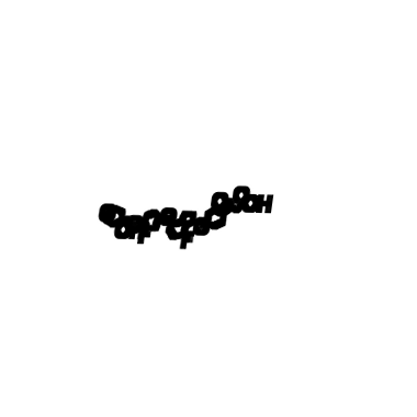 O=C(O)CC1COc2cc(O[C@@H]3CCc4c(Oc5ccc(OCC6(O)CCOCC6)c(F)c5)ccc(F)c43)ccc21